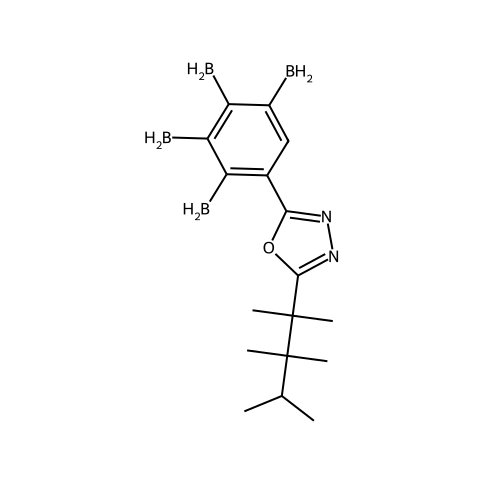 Bc1cc(-c2nnc(C(C)(C)C(C)(C)C(C)C)o2)c(B)c(B)c1B